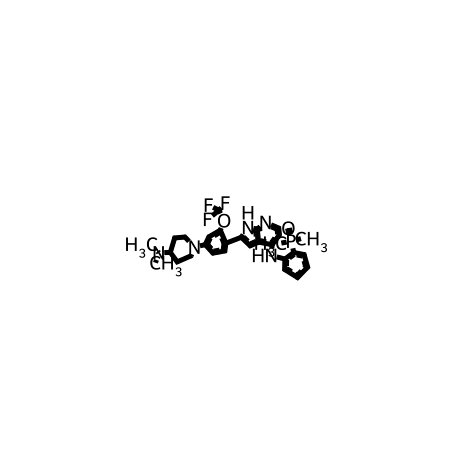 CN(C)C1CCN(c2ccc(-c3cc4c(Nc5ccccc5P(C)(C)=O)ccnc4[nH]3)c(OC(F)(F)F)c2)CC1